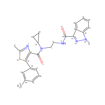 Cc1nc(C(=O)N(CCNC(=O)c2nn(C)c3ccccc23)C2CC2)c(-c2cccc(C(F)(F)F)c2)s1